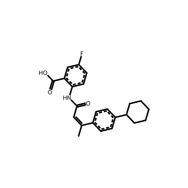 C/C(=C/C(=O)Nc1ccc(F)cc1C(=O)O)c1ccc(C2CCCCC2)cc1